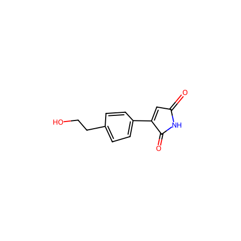 O=C1C=C(c2ccc(CCO)cc2)C(=O)N1